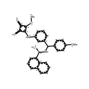 COc1ccc(C(N[C@H](C)c2cccc3ccccc23)c2cccc(Nc3c(OC(C)(C)C)c(=O)c3=O)c2)cc1